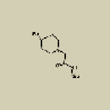 CC(C)(C)NC(=O)CN1CCC(C(C)(C)C)CC1